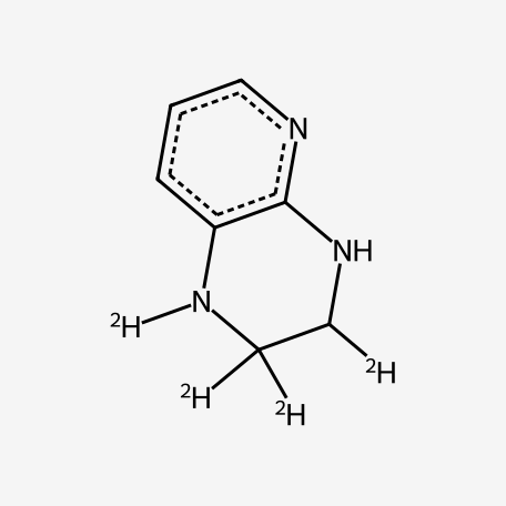 [2H]C1Nc2ncccc2N([2H])C1([2H])[2H]